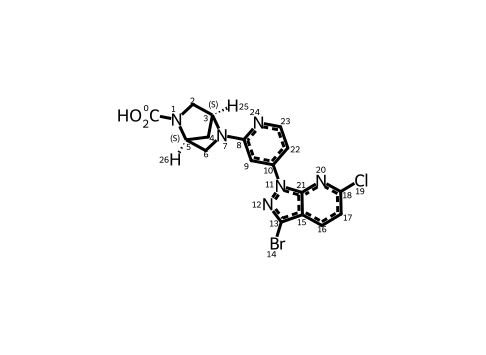 O=C(O)N1C[C@@H]2C[C@H]1CN2c1cc(-n2nc(Br)c3ccc(Cl)nc32)ccn1